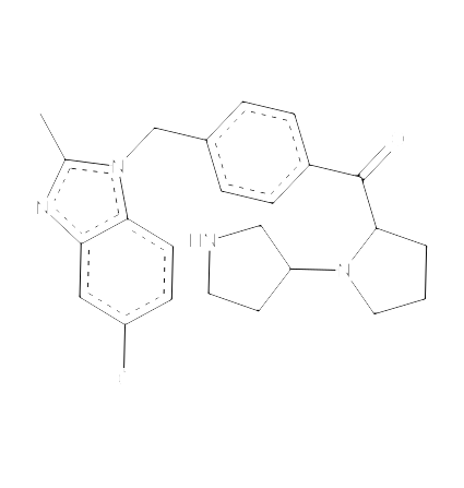 Cc1nc2cc(Cl)ccc2n1Cc1ccc(C(=O)C2CCCN2C2CCNC2)cc1